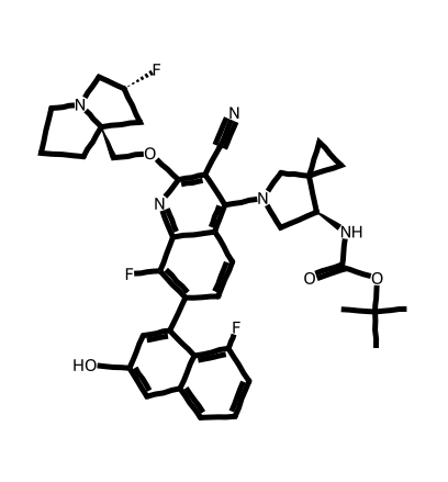 CC(C)(C)OC(=O)N[C@H]1CN(c2c(C#N)c(OC[C@@]34CCCN3C[C@H](F)C4)nc3c(F)c(-c4cc(O)cc5cccc(F)c45)ccc23)CC12CC2